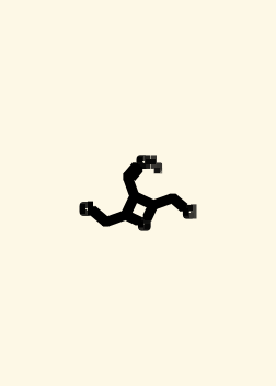 C=CC1C(CCl)OC1CCl